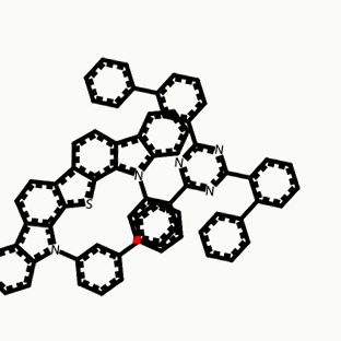 c1ccc(-c2cccc(-c3nc(-c4ccccc4-c4ccccc4)nc(-c4ccccc4-n4c5ccccc5c5ccc6c7ccc8c9ccccc9n(-c9cccc(-c%10ccccc%10)c9)c8c7sc6c54)n3)c2)cc1